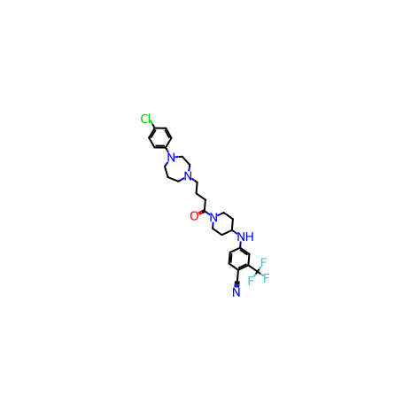 N#Cc1ccc(NC2CCN(C(=O)CCCN3CCCN(c4ccc(Cl)cc4)CC3)CC2)cc1C(F)(F)F